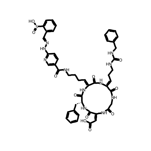 O=C(O)/C=C1/NC(=O)CNC(=O)/C(=C/CCNC(=O)NCc2ccccc2)NC(=O)/C(=C/CCCNC(=O)c2ccc(N/N=C/c3ccccc3S(=O)O)nc2)NC(=O)[C@@H](Cc2ccccc2)NC1=O